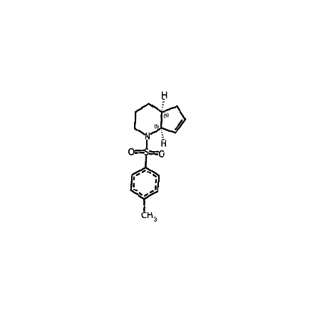 Cc1ccc(S(=O)(=O)N2CCC[C@H]3CC=C[C@H]32)cc1